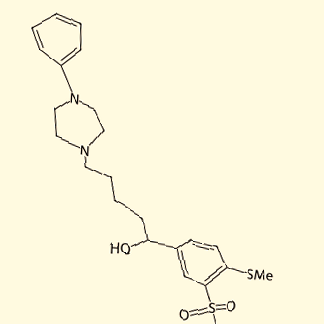 CNS(=O)(=O)c1cc(C(O)CCCCN2CCN(c3ccccc3)CC2)ccc1SC